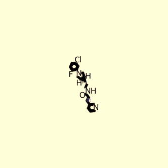 O=C(/C=C/c1cccnc1)NCC[C@@H]1[C@H]2CN(c3cc(Cl)ccc3F)C[C@@H]12